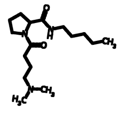 CCCCCNC(=O)C1CCCN1C(=O)CCCN(C)C